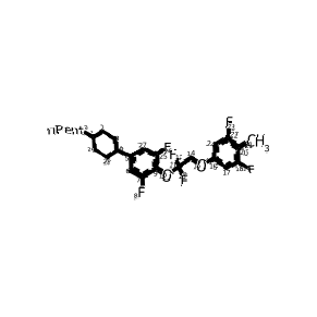 CCCCCC1CCC(c2cc(F)c(OC(F)(F)COc3cc(F)c(C)c(F)c3)c(F)c2)CC1